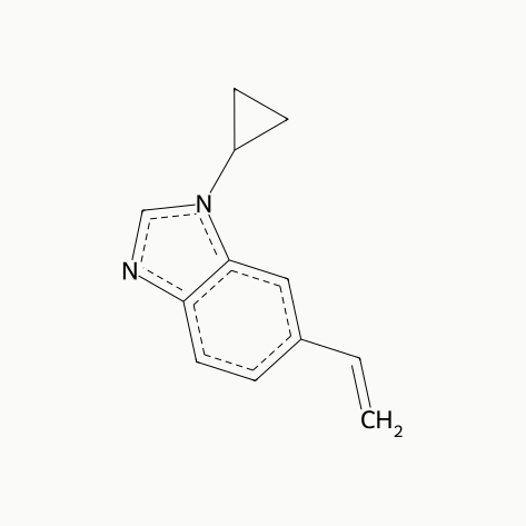 C=Cc1ccc2ncn(C3CC3)c2c1